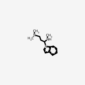 CNC(CCN(C)C)n1ccc2ccccc21